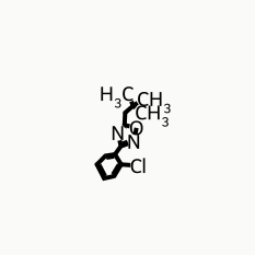 CC(C)(C)Cc1nc(-c2ccccc2Cl)no1